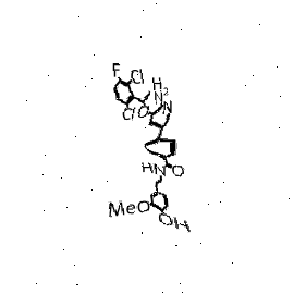 COc1cc(CCNC(=O)c2ccc(-c3cnc(N)c(OC(C)c4c(Cl)ccc(F)c4Cl)c3)cc2)ccc1O